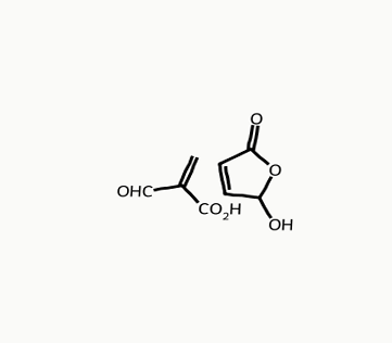 C=C(C=O)C(=O)O.O=C1C=CC(O)O1